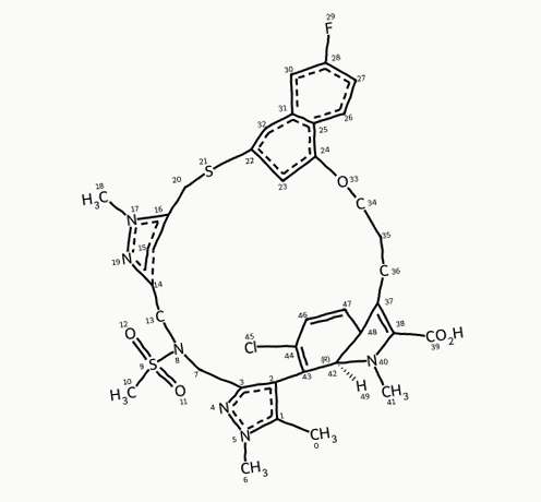 Cc1c2c(nn1C)CN(S(C)(=O)=O)Cc1cc(n(C)n1)CSc1cc(c3ccc(F)cc3c1)OCCCC1=C(C(=O)O)N(C)[C@H]3C2=C(Cl)C=CC13